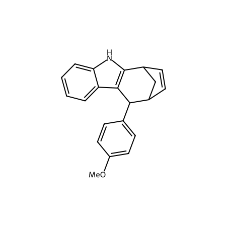 COc1ccc(C2c3c([nH]c4ccccc34)C3C=CC2C3)cc1